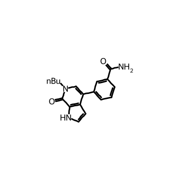 CCCCn1cc(-c2cccc(C(N)=O)c2)c2cc[nH]c2c1=O